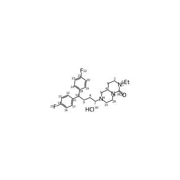 CCN1CCC2CN(CCCC(c3ccc(F)cc3)c3ccc(F)cc3)CCN2C1=O.Cl